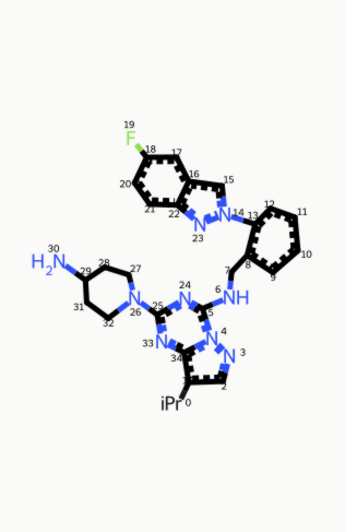 CC(C)c1cnn2c(NCc3ccccc3-n3cc4cc(F)ccc4n3)nc(N3CCC(N)CC3)nc12